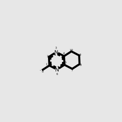 [CH2]c1cnc2c(n1)CCCC2